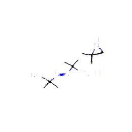 CC(C)(C#N)N=NC(C)(C)C#N.CC1(C)CN1.Cl.Cl